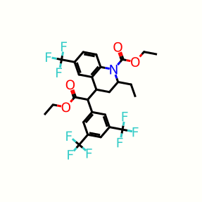 CCOC(=O)C(c1cc(C(F)(F)F)cc(C(F)(F)F)c1)C1CC(CC)N(C(=O)OCC)c2ccc(C(F)(F)F)cc21